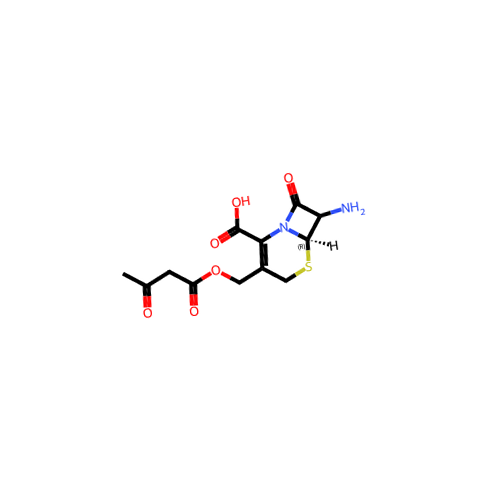 CC(=O)CC(=O)OCC1=C(C(=O)O)N2C(=O)C(N)[C@H]2SC1